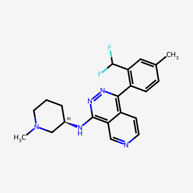 Cc1ccc(-c2nnc(N[C@@H]3CCCN(C)C3)c3cnccc23)c(C(F)F)c1